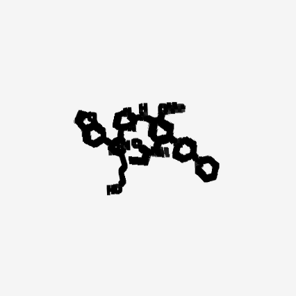 C=CC(=O)Nc1cc(Nc2nccc(-c3[nH]c(CCCO)nc3-c3ccc4ccoc4c3)n2)c(OC)cc1N1CCC(N2CCCCC2)CC1